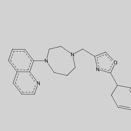 C1=CCC(c2nc(CN3CCCN(c4cccc5cccnc45)CC3)co2)C=C1